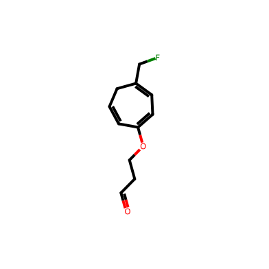 O=CCCOC1=CC=C(CF)CC=C1